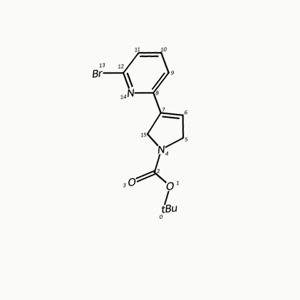 CC(C)(C)OC(=O)N1CC=C(c2cccc(Br)n2)C1